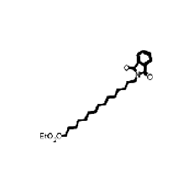 CCOC(=O)CCCCCCCCCCCCCCCN1C(=O)c2ccccc2C1=O